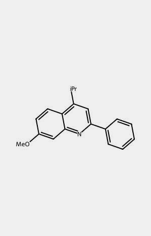 COc1ccc2c(C(C)C)cc(-c3ccccc3)nc2c1